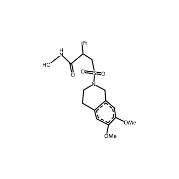 COc1cc2c(cc1OC)CN(S(=O)(=O)CC(C(=O)NO)C(C)C)CC2